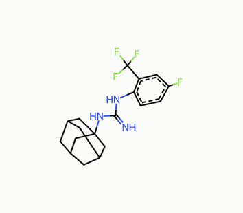 N=C(Nc1ccc(F)cc1C(F)(F)F)NC12CC3CC(CC(C3)C1)C2